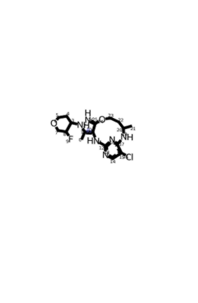 C/C(NC1CCOCC1F)=C1\Nc2ncc(Cl)c(n2)NC(C)CCOC1=N